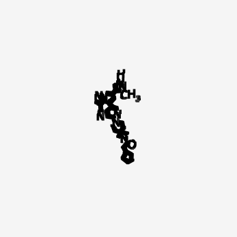 Cc1n[nH]cc1-c1cc(-c2ccc(N3CCC4(CC3)CN(C(=O)CC3CCCC3)C4)nc2)c2c(C#N)cnn2c1